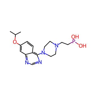 CC(C)Oc1ccc2c(N3CCN(CCP(O)O)CC3)ncnc2c1